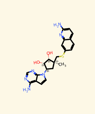 C[C@]1(CSc2ccc3ccc(N)nc3c2)C[C@@H](n2ccc3c(N)ncnc32)[C@H](O)[C@@H]1O